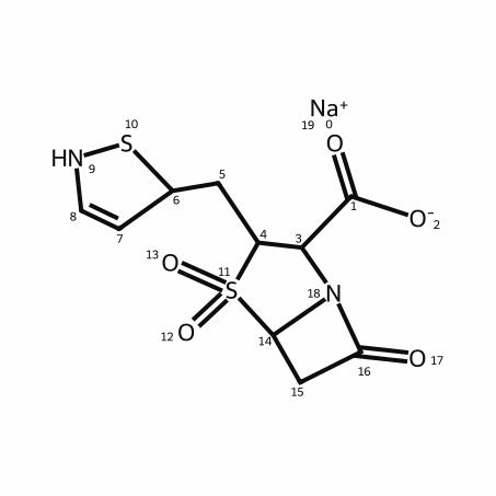 O=C([O-])C1C(CC2C=CNS2)S(=O)(=O)C2CC(=O)N12.[Na+]